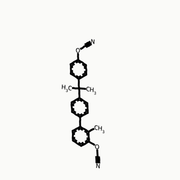 Cc1c(OC#N)cccc1-c1ccc(C(C)(C)c2ccc(OC#N)cc2)cc1